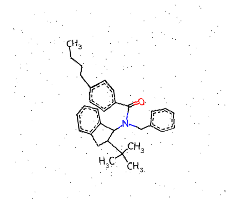 CCCCc1ccc(C(=O)N(Cc2ccccc2)C2c3ccccc3CC2C(C)(C)C)cc1